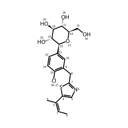 C/C=C(/C)c1cnc(Cc2cc([C@@H]3O[C@H](CO)[C@@H](O)[C@H](O)[C@H]3O)ccc2Cl)s1